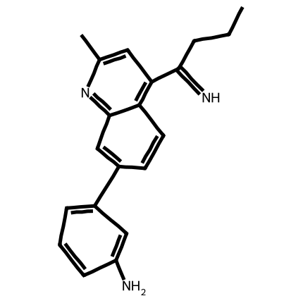 CCCC(=N)c1cc(C)nc2cc(-c3cccc(N)c3)ccc12